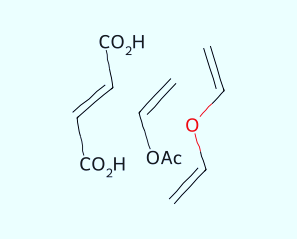 C=COC(C)=O.C=COC=C.O=C(O)/C=C/C(=O)O